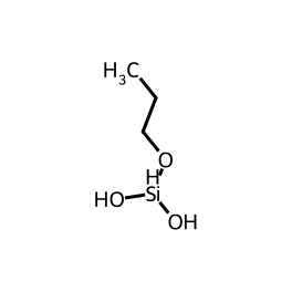 CCCO[SiH](O)O